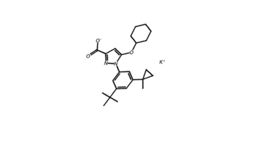 CC(C)(C)c1cc(-n2nc(C(=O)[O-])cc2OC2CCCCC2)cc(C2(C)CC2)c1.[K+]